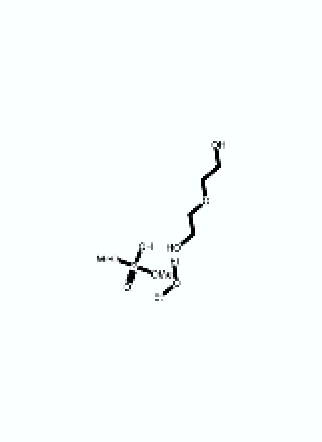 CCOCC.COP(=O)(O)OC.OCCOCCO